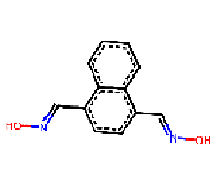 ON=Cc1ccc(C=NO)c2ccccc12